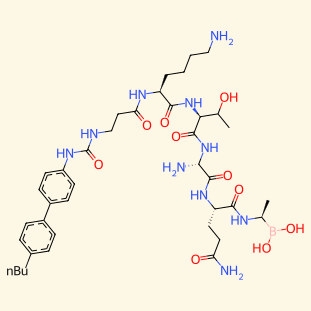 CCCCc1ccc(-c2ccc(NC(=O)NCCC(=O)N[C@@H](CCCCN)C(=O)N[C@H](C(=O)N[C@@H](N)C(=O)N[C@@H](CCC(N)=O)C(=O)N[C@@H](C)B(O)O)C(C)O)cc2)cc1